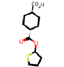 O=C(O)[C@H]1CC[C@H](C(=O)OC2CCCS2)CC1